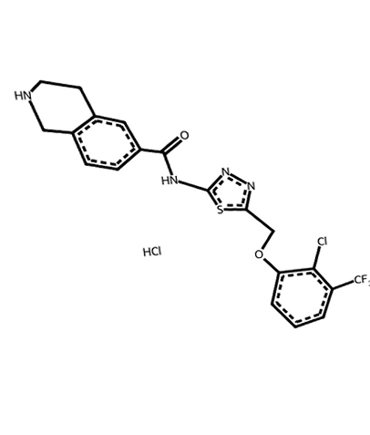 Cl.O=C(Nc1nnc(COc2cccc(C(F)(F)F)c2Cl)s1)c1ccc2c(c1)CCNC2